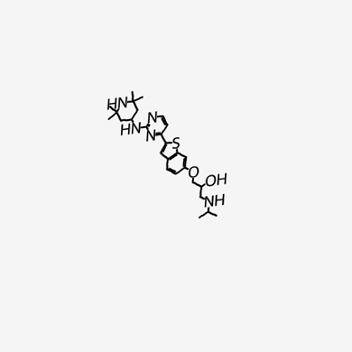 CC(C)NCC(O)COc1ccc2cc(-c3ccnc(NC4CC(C)(C)NC(C)(C)C4)n3)sc2c1